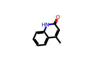 Cc1cc(=O)[nH]c2cc[c]cc12